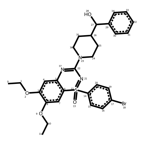 CCOc1cc2c(cc1OCC)S(=O)(c1ccc(Br)cc1)=NC(N1CCC(C(O)c3ccccc3)CC1)=N2